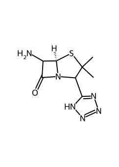 CC1(C)S[C@@H]2C(N)C(=O)N2C1c1nnn[nH]1